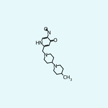 CC1CCN(C2CCN(Cc3cc(=O)c(N=O)c[nH]3)CC2)CC1